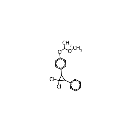 COC(C)Oc1ccc(C2C(c3ccccc3)C2(Cl)Cl)cc1